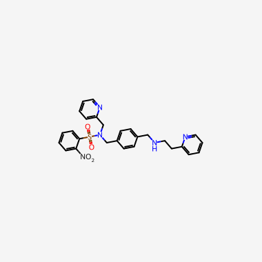 O=[N+]([O-])c1ccccc1S(=O)(=O)N(Cc1ccc(CNCCc2ccccn2)cc1)Cc1ccccn1